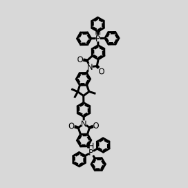 CC1c2cc(N3C(=O)c4ccc([PH](c5ccccc5)(c5ccccc5)c5ccccc5)cc4C3=O)ccc2C(C)(C)C1c1ccc(N2C(=O)c3ccc([PH](c4ccccc4)(c4ccccc4)c4ccccc4)cc3C2=O)cc1